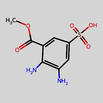 COC(=O)c1cc(S(=O)(=O)O)cc(N)c1N